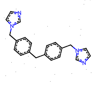 c1cn(Cc2ccc(Cc3ccc(Cn4ccnc4)cc3)cc2)cn1